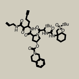 C#CCCC(NC(=O)C1C[C@@H](OC(=O)N2CCc3ccccc3C2)CN1C(=O)C(NC(=O)NC1(CS(=O)(=O)C(C)(C)C)CCCCC1)C(C)(C)C)C(=O)C(=O)NCC=C